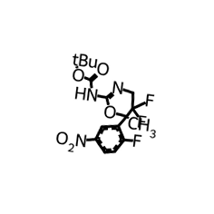 CC(C)(C)OC(=O)NC1=NCC(F)(F)[C@@](C)(c2cc([N+](=O)[O-])ccc2F)O1